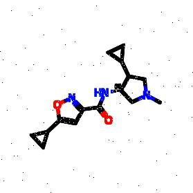 CN1CC(C2CC2)[C@@H](NC(=O)c2cc(C3CC3)on2)C1